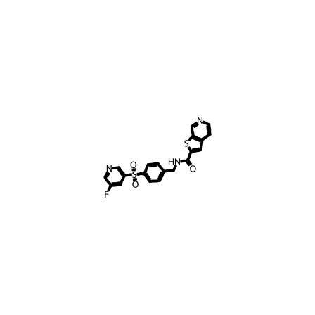 O=C(NCc1ccc(S(=O)(=O)c2cncc(F)c2)cc1)c1cc2ccncc2s1